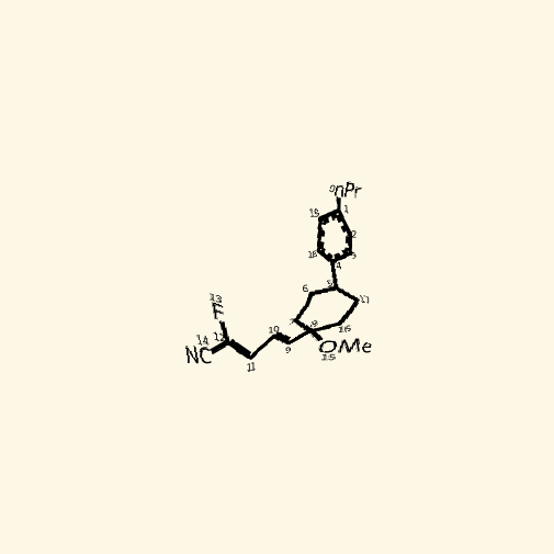 CCCc1ccc(C2CCC(C=CC=C(F)C#N)(OC)CC2)cc1